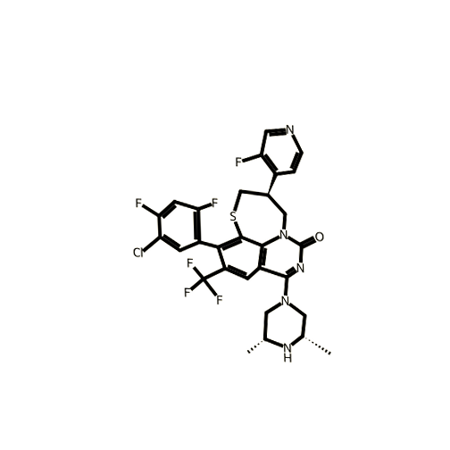 C[C@@H]1CN(c2nc(=O)n3c4c(c(-c5cc(Cl)c(F)cc5F)c(C(F)(F)F)cc24)SC[C@@H](c2ccncc2F)C3)C[C@H](C)N1